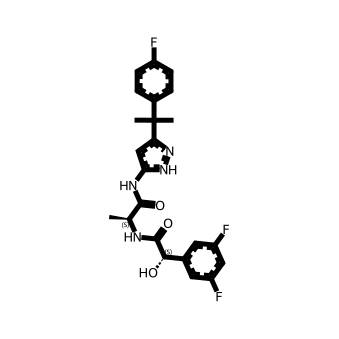 C[C@H](NC(=O)[C@@H](O)c1cc(F)cc(F)c1)C(=O)Nc1cc(C(C)(C)c2ccc(F)cc2)n[nH]1